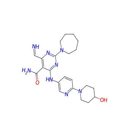 N=Cc1nc(N2CCCCCC2)nc(Nc2ccc(N3CCC(O)CC3)nc2)c1C(N)=O